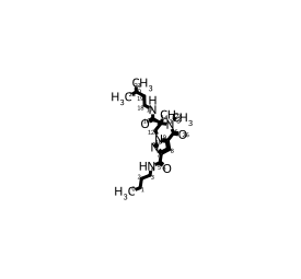 CCCCNC(=O)c1cc2n(n1)CC(C)(C(=O)NCCC(C)C)N(C)C2=O